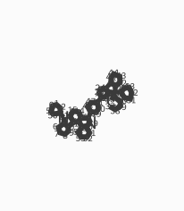 c1ccc(-n2c3ccccc3c3c4c(ccc32)c(-c2ccc(-c3ccc5c(c3)C(c3ccccc3)(c3ccccc3)c3ccccc3-5)cc2)nc2ccccc24)cc1